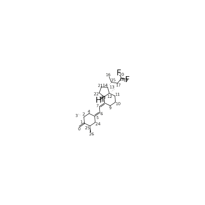 C=C1[C@H](C)CC(=C/C=C2\CCC[C@]3(C)[C@@H](C(C)CC(F)F)CC[C@@H]23)C[C@H]1C